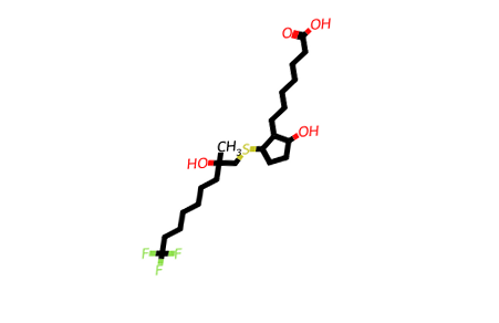 CC(O)(CCCCCCC(F)(F)F)CSC1CCC(O)C1CCCCCCC(=O)O